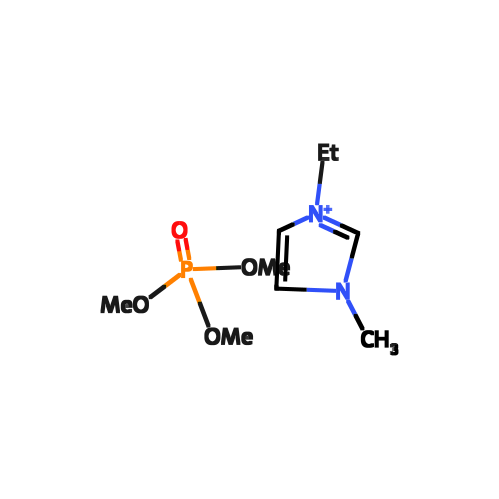 CC[n+]1ccn(C)c1.COP(=O)(OC)OC